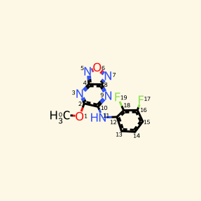 COc1nc2nonc2nc1Nc1cccc(F)c1F